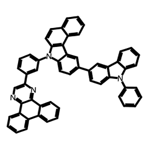 c1ccc(-n2c3ccccc3c3cc(-c4ccc5c(c4)c4c6ccccc6ccc4n5-c4cccc(-c5cnc6c7ccccc7c7ccccc7c6n5)c4)ccc32)cc1